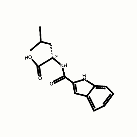 CC(C)C[C@H](NC(=O)c1cc2ccccc2[nH]1)C(=O)O